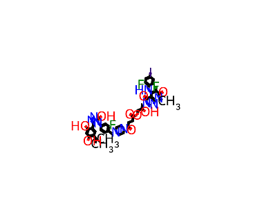 CC(C)c1cc(-c2nnc(O)n2-c2ccc(CN3CCN(C(=O)CCC(=O)OCC(O)Cn4cnc5c(c(Nc6ccc(I)cc6F)c(F)c(=O)n5C)c4=O)CC3)c(F)c2)c(O)cc1O